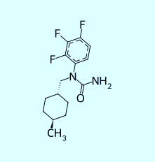 C[C@H]1CC[C@H](CN(C(N)=O)c2ccc(F)c(F)c2F)CC1